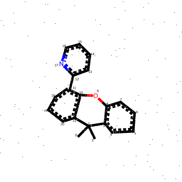 CC1(C)c2ccccc2Oc2c(-c3ccccn3)cccc21